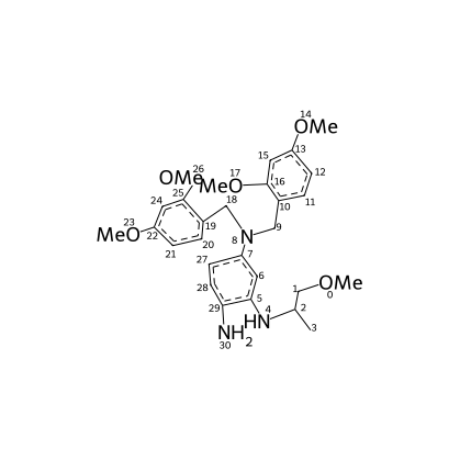 COCC(C)Nc1cc(N(Cc2ccc(OC)cc2OC)Cc2ccc(OC)cc2OC)ccc1N